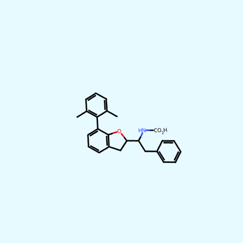 Cc1cccc(C)c1-c1cccc2c1OC(C(Cc1ccccc1)NC(=O)O)C2